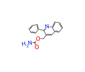 NC(=O)OCc1cc2ccccc2nc1-c1ccccc1